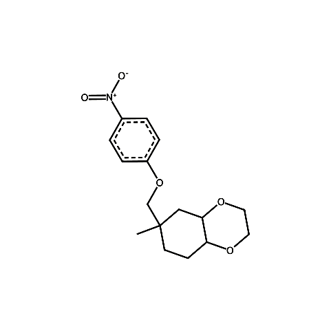 CC1(COc2ccc([N+](=O)[O-])cc2)CCC2OCCOC2C1